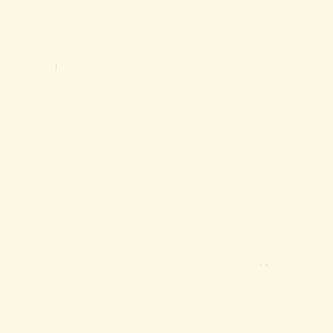 CCCCCCCCCCCCCCCCCCCCO